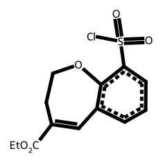 CCOC(=O)C1=Cc2cccc(S(=O)(=O)Cl)c2OCC1